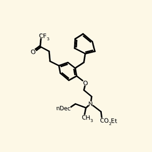 CCCCCCCCCCCC(C)N(CCOc1ccc(CCC(=O)C(F)(F)F)cc1Cc1ccccc1)CC(=O)OCC